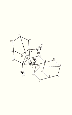 [3H][C](C12CC3CC(CC(C3)C1([3H])[3H])C2)C1([3H])C2([3H])CC3CC(C2)CC1([3H])C3